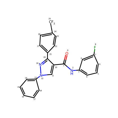 O=C(Nc1cccc(F)c1)c1cn(-c2ccccc2)nc1-c1ccc(C(F)(F)F)cc1